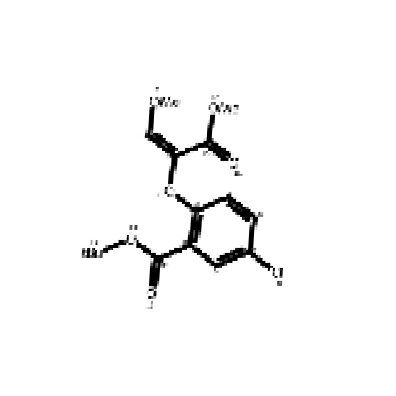 COC=C(Oc1ccc(Cl)cc1C(=O)OC(C)(C)C)C(=O)OC